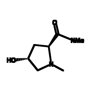 CNC(=O)[C@@H]1C[C@@H](O)CN1C